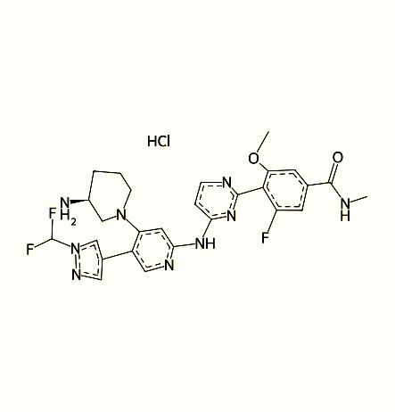 CNC(=O)c1cc(F)c(-c2nccc(Nc3cc(N4CCC[C@H](N)C4)c(-c4cnn(C(F)F)c4)cn3)n2)c(OC)c1.Cl